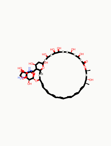 C[C@H]1C[C@H](O)[C@@H](C)/C=C/C=C/C=C/C=C/C=C/C=C/C=C/C(O[C@@H]2OC[C@@H](O)[C@H](N)[C@@H]2O)C[C@@H]2OC(O)(CC(O)CC(O)C(O)CC[C@@H](O)CC(O)CC(=O)O1)C[C@H](O)C2C(=O)N[C@H]1COCC1O